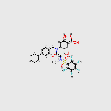 CN([C@@H](CO)C(=O)N(Cc1ccc(C2CCCCC2)cc1)c1ccc(C(=O)O)c(O)c1)S(=O)(=O)c1c(F)c(F)c(F)c(F)c1F